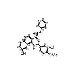 COc1ccc(CNc2c(C(=O)NCc3cccnc3)cnc3ccc(C#N)cc23)cc1Cl